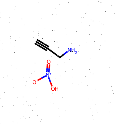 C#CCN.O=[N+]([O-])O